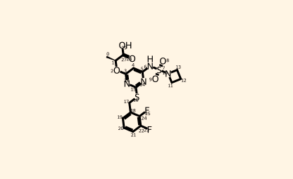 C[C@H](Oc1cc(NS(=O)(=O)N2CCC2)nc(SCc2cccc(F)c2F)n1)C(=O)O